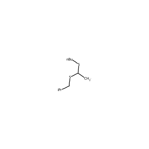 [CH2]C(SCCCC)SCC(C)C